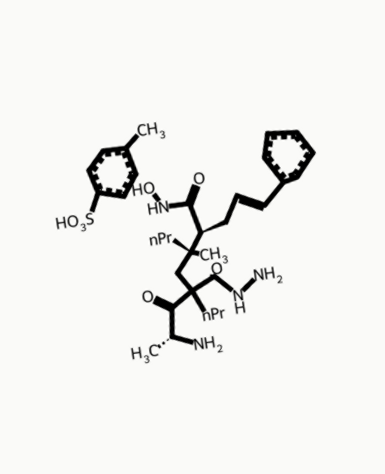 CCCC(C[C@](C)(CCC)[C@H](C/C=C/c1ccccc1)C(=O)NO)(C(=O)NN)C(=O)[C@@H](C)N.Cc1ccc(S(=O)(=O)O)cc1